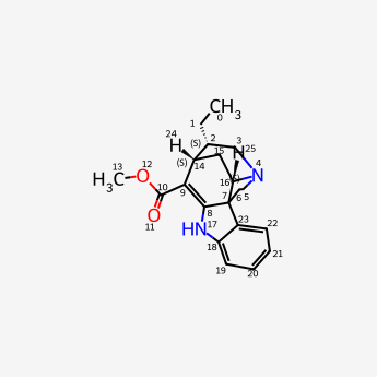 CC[C@@H]1CN2CCC34C(=C(C(=O)OC)[C@H]1C[C@H]23)Nc1ccccc14